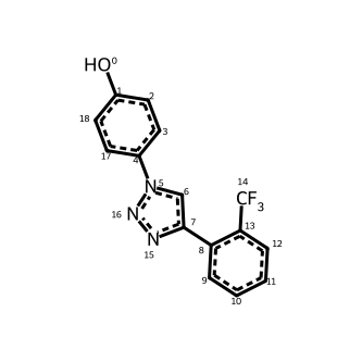 Oc1ccc(-n2cc(-c3ccccc3C(F)(F)F)nn2)cc1